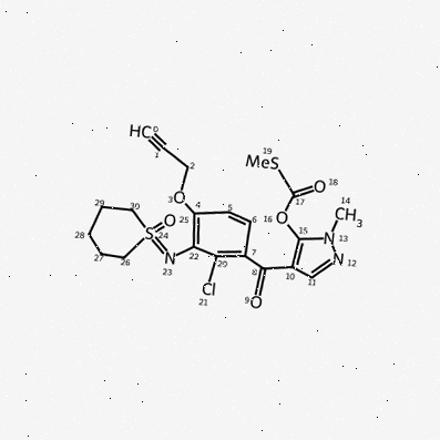 C#CCOc1ccc(C(=O)c2cnn(C)c2OC(=O)SC)c(Cl)c1N=S1(=O)CCCCC1